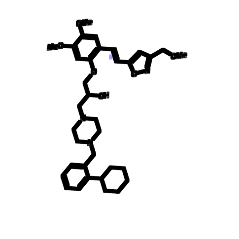 COCc1cc(/C=C/c2cc(OC)c(OC)cc2OCC(O)CN2CCN(Cc3ccccc3C3CCCCC3)CC2)on1